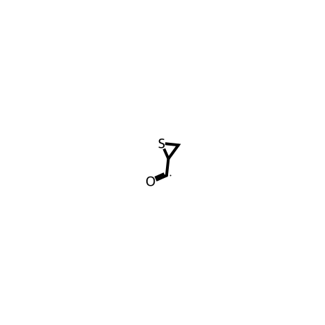 O=[C]C1CS1